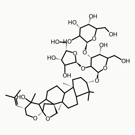 CC(C)=C[C@H]1CO[C@]23C[C@]4(CO2)C(CCC2[C@@]5(C)CC[C@H](O[C@@H]6OC(CO)[C@@H](O)[C@@H](O[C@@H]7OC(CO)[C@@H](O)[C@@H](O)C7O)C6O[C@@H]6O[C@@H](CO)[C@@H](O)C6O)C(C)(C)C5CC[C@]24C)C3C1(C)O